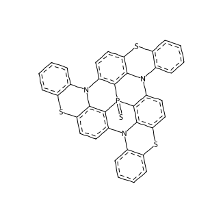 S=P12c3c4ccc5c3N(c3ccccc3S5)c3ccc5c(c31)N(c1ccccc1S5)c1ccc3c(c12)N4c1ccccc1S3